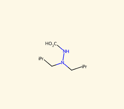 CC(C)CN(CC(C)C)NC(=O)O